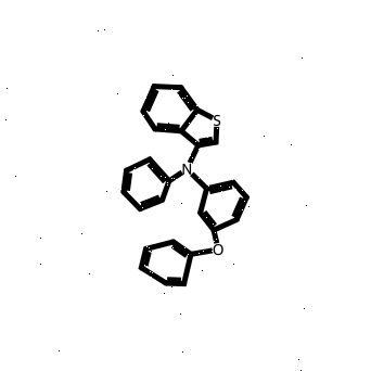 c1ccc(Oc2cccc(N(c3ccccc3)c3csc4ccccc34)c2)cc1